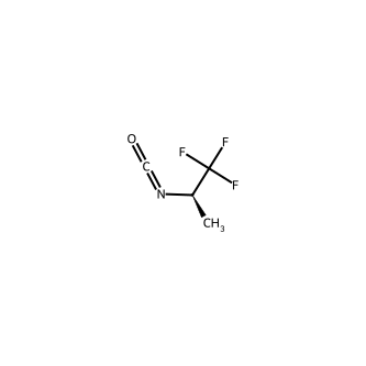 C[C@@H](N=C=O)C(F)(F)F